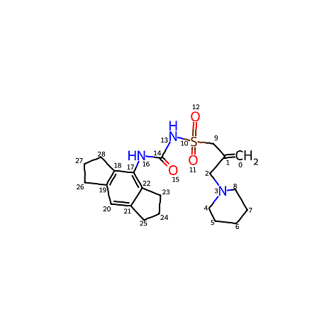 C=C(CN1CCCCC1)CS(=O)(=O)NC(=O)Nc1c2c(cc3c1CCC3)CCC2